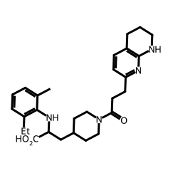 CCc1cccc(C)c1NC(CC1CCN(C(=O)CCc2ccc3c(n2)NCCC3)CC1)C(=O)O